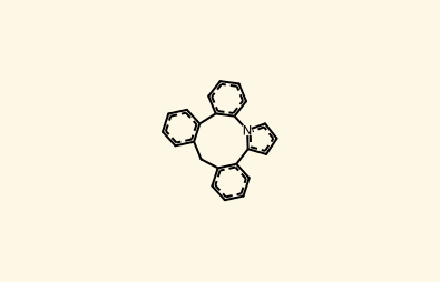 c1ccc2c(c1)Cc1ccccc1-c1cccn1-c1ccccc1-2